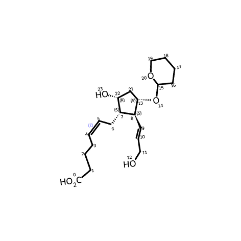 O=C(O)CCC/C=C\C[C@H]1[C@H](C=CCO)[C@@H](OC2CCCCO2)C[C@H]1O